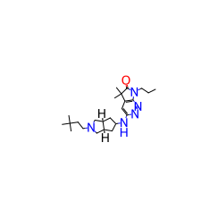 CCCN1C(=O)C(C)(C)c2cc(NC3C[C@@H]4CN(CCC(C)(C)C)C[C@@H]4C3)nnc21